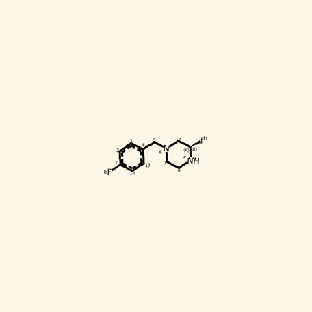 Fc1ccc(CN2CCN[C@H](I)C2)cc1